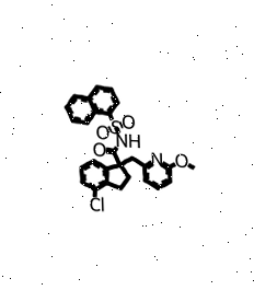 COc1cccc(CC2(C(=O)NS(=O)(=O)c3cccc4ccccc34)CCc3c(Cl)cccc32)n1